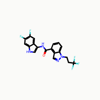 O=C(Nc1c[nH]c2cc(F)c(F)cc12)c1cccc2c1cnn2CCC(F)(F)F